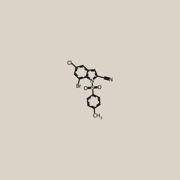 Cc1ccc(S(=O)(=O)n2c(C#N)cc3cc(Cl)cc(Br)c32)cc1